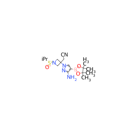 CC(C)[S+]([O-])N1CC(CC#N)(n2cc(B3OC(C)(C)C(C)(C)O3)c(N)n2)C1